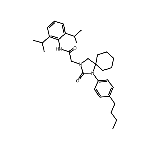 CCCCc1ccc(N2C(=O)N(CC(=O)Nc3c(C(C)C)cccc3C(C)C)CC23CCCCC3)cc1